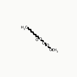 C=CCCCCCCCCC(=O)OCCOCCOCCOC